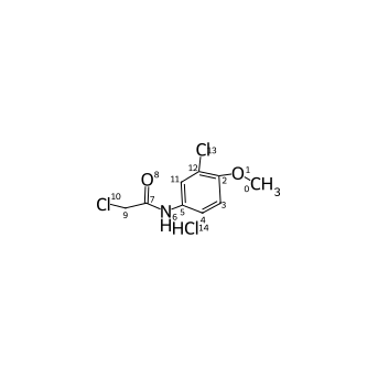 COc1ccc(NC(=O)CCl)cc1Cl.Cl